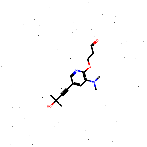 CN(C)c1cc(C#CC(C)(C)O)cnc1OCCC=O